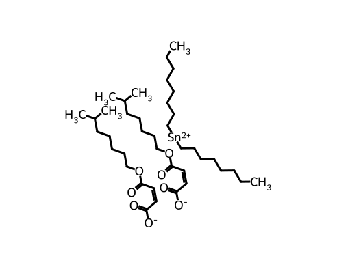 CC(C)CCCCCOC(=O)/C=C\C(=O)[O-].CC(C)CCCCCOC(=O)/C=C\C(=O)[O-].CCCCCCC[CH2][Sn+2][CH2]CCCCCCC